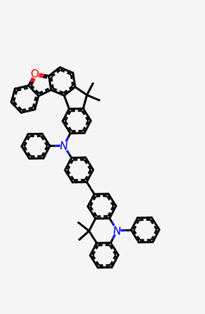 CC1(C)c2ccccc2N(c2ccccc2)c2ccc(-c3ccc(N(c4ccccc4)c4ccc5c(c4)-c4c(ccc6oc7ccccc7c46)C5(C)C)cc3)cc21